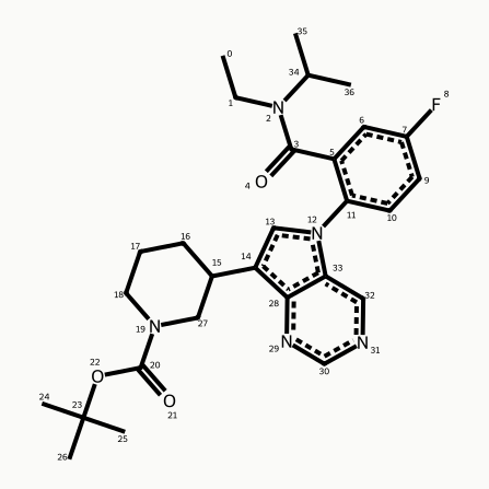 CCN(C(=O)c1cc(F)ccc1-n1cc(C2CCCN(C(=O)OC(C)(C)C)C2)c2ncncc21)C(C)C